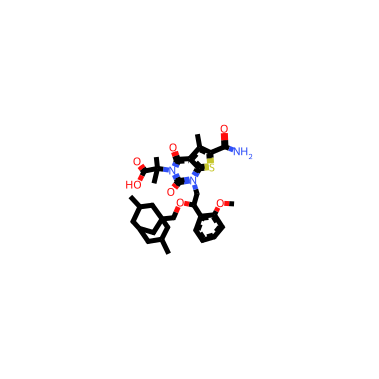 COc1ccccc1C(Cn1c(=O)n(C(C)(C)C(=O)O)c(=O)c2c(C)c(C(N)=O)sc21)OCC12CC(C)CC(CC(C)C1)C2